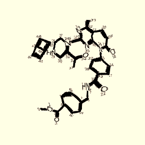 COC(=O)c1ccc(CNC(=O)c2ccc(-n3c(=O)ccc4c(C)nc(N5CCNCC5C(C)=O)nc43)cc2)cc1.c1cc2ccc1-2